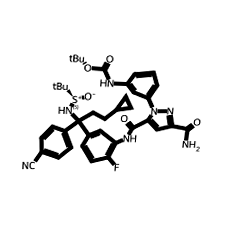 CC(C)(C)OC(=O)Nc1cccc(-n2nc(C(N)=O)cc2C(=O)Nc2cc(C(CCC3CC3)(N[S@+]([O-])C(C)(C)C)c3ccc(C#N)cc3)ccc2F)c1